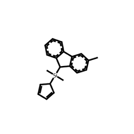 Cc1ccc2c(c1)-c1ccccc1C2[Si](C)(C)C1C=CC=C1